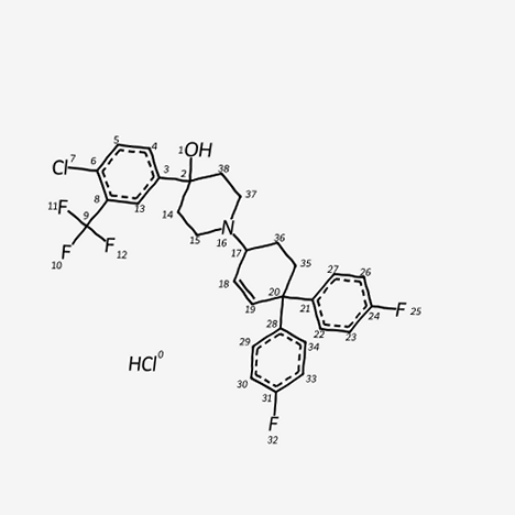 Cl.OC1(c2ccc(Cl)c(C(F)(F)F)c2)CCN(C2C=CC(c3ccc(F)cc3)(c3ccc(F)cc3)CC2)CC1